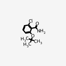 CC(C)(C)Oc1cccc(Cl)c1C(N)=O